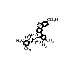 COc1cc(C(F)(F)F)c(-c2ccc(C(=O)O)cc2F)cc1C1=C(CN2C(=O)O[C@H](c3cc(C)cc(C(F)(F)F)c3)[C@@H]2C)CC(C)(C)CC1